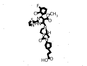 COC(=O)C1=C(CN2CCN3C(=O)N(c4ccc(/C=C/C(=O)O)cc4)C[C@@H]3C2)NC(c2nccs2)=N[C@H]1c1cccc(F)c1Cl